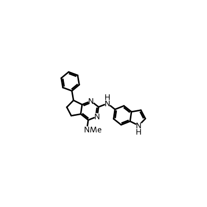 CNc1nc(Nc2ccc3[nH]ccc3c2)nc2c1CCC2c1ccccc1